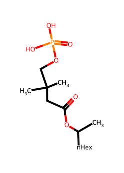 CCCCCCC(C)OC(=O)CC(C)(C)COP(=O)(O)O